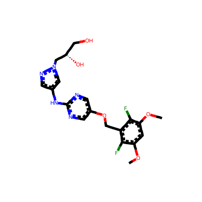 COc1cc(OC)c(F)c(COc2cnc(Nc3cnn(C[C@@H](O)CO)c3)nc2)c1F